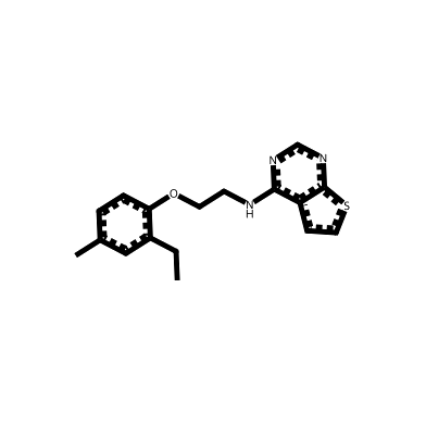 CCc1cc(C)ccc1OCCNc1ncnc2sccc12